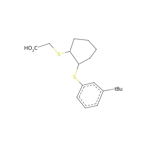 CC(C)(C)c1cccc(SC2CCCCC2SCC(=O)O)c1